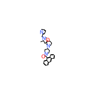 CC1CC2(CCCN(C3CCN(C(=O)c4c5ccccc5cc5ccccc45)CC3)C2)OCN1Cc1ccccn1